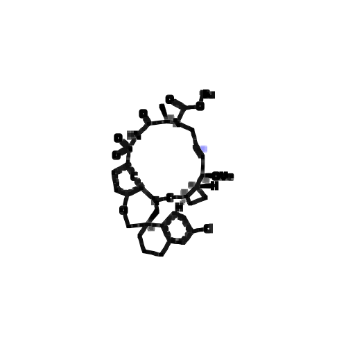 CO[C@@H]1/C=C/CN(C(=O)OC(C)(C)C)[C@H](C)C(=O)NS(=O)(=O)c2ccc3c(c2)N(C[C@@H]2CC[C@H]21)C[C@@]1(CCCc2cc(Cl)ccc21)CO3